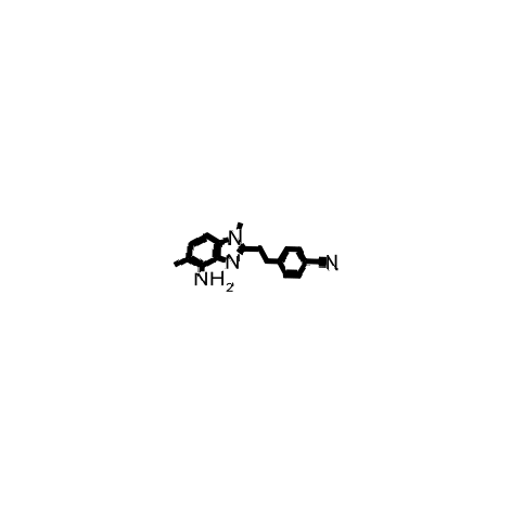 Cc1ccc2c(nc(CCc3ccc(C#N)cc3)n2C)c1N